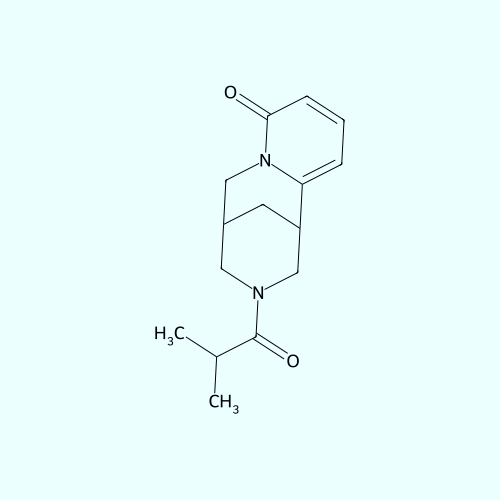 CC(C)C(=O)N1CC2CC(C1)c1cccc(=O)n1C2